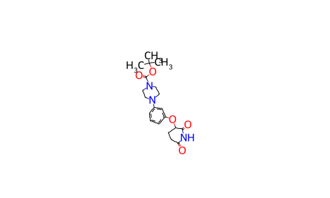 CC(C)(C)OC(=O)N1CCN(c2cccc(OC3CCC(=O)NC3=O)c2)CC1